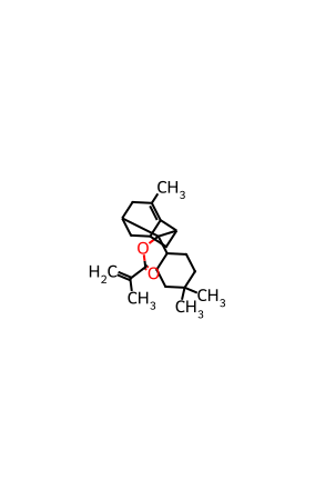 C=C(C)C(=O)OC1(C2CCC(C)(C)CC2)C2CC(C)=C3C(C2)CC31